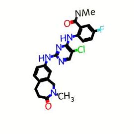 CNC(=O)c1cc(F)ccc1Nc1nc(Nc2ccc3c(c2)CN(C)C(=O)CC3)ncc1Cl